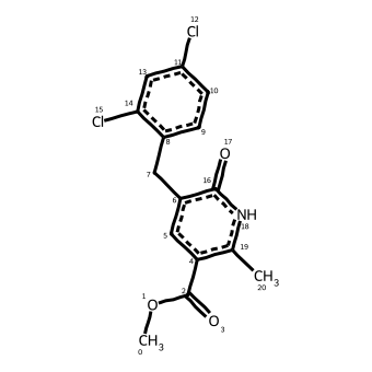 COC(=O)c1cc(Cc2ccc(Cl)cc2Cl)c(=O)[nH]c1C